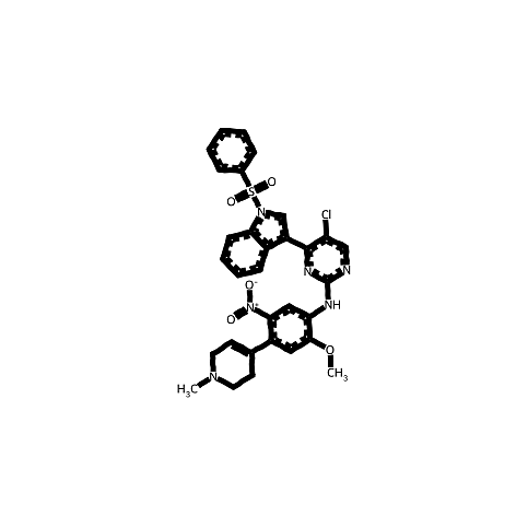 COc1cc(C2=CCN(C)CC2)c([N+](=O)[O-])cc1Nc1ncc(Cl)c(-c2cn(S(=O)(=O)c3ccccc3)c3ccccc23)n1